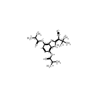 [C-]#[N+]C(=C1Sc2c(OC(=O)C(C)C)ccc(OC(=O)C(C)C)c2S1)C(C)(C)C